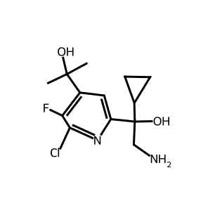 CC(C)(O)c1cc(C(O)(CN)C2CC2)nc(Cl)c1F